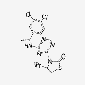 CC(C)C1CSC(=O)N1c1ncnc(N[C@@H](C)c2ccc(Cl)c(Cl)c2)n1